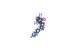 CN1CCN(c2ccc(-c3cc4c(cn3)CCc3c-4[nH]c4c3C(=O)NC3(CC3)C43CC3)cc2)CC1